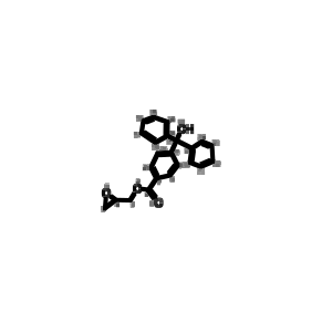 O=C(OCC1CO1)c1ccc(C(O)(c2ccccc2)c2ccccc2)cc1